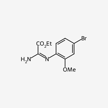 CCOC(=O)/C(N)=N\c1ccc(Br)cc1OC